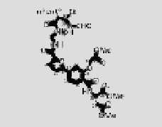 CCCCC[C@@H](C(=O)NCNC(=O)c1ccc(-c2ccc(C(=O)N[C@@H](CC(=O)OC)C(=O)OC)c(OCC(=O)OC)c2)o1)[C@@H](CC)N(O)C=O